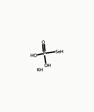 O=P(O)(O)[SeH].[KH]